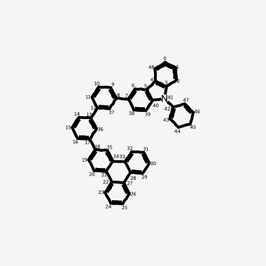 C1=C=Cc2c(c3cc(-c4cccc(-c5cccc(-c6ccc7c8ccccc8c8ccccc8c7c6)c5)c4)ccc3n2C2=CCCC=C2)C=1